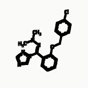 CN(C)N=C(c1ccccc1OCc1ccc(Cl)cc1)n1cncn1